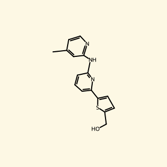 Cc1ccnc(Nc2cccc(-c3ccc(CO)s3)n2)c1